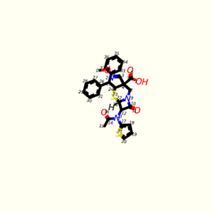 CON=CC1(C(=O)O)CN2C(=O)C(N(C(C)=O)c3cccs3)[C@H]2SC1C(c1ccccc1)c1ccccc1